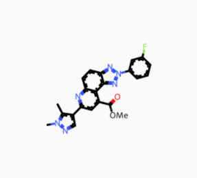 COC(=O)c1cc(-c2cnn(C)c2C)nc2ccc3nn(-c4cccc(F)c4)nc3c12